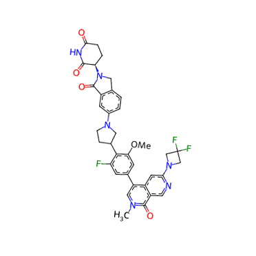 COc1cc(-c2cn(C)c(=O)c3cnc(N4CC(F)(F)C4)cc23)cc(F)c1C1CCN(c2ccc3c(c2)C(=O)N([C@@H]2CCC(=O)NC2=O)C3)C1